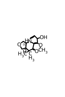 COC1=C2C(=O)C(C)(C)[C@H]3COC[C@H]3N2C=CC1O